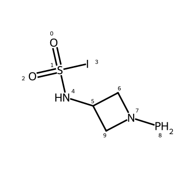 O=S(=O)(I)NC1CN(P)C1